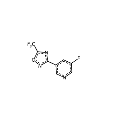 Fc1cncc(-c2noc(C(F)(F)F)n2)c1